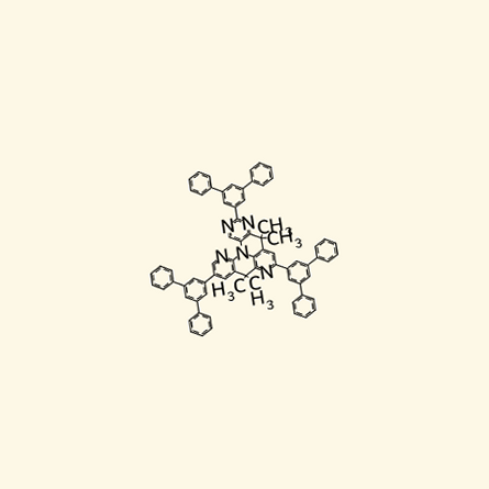 CC1(C)c2cc(-c3cc(-c4ccccc4)cc(-c4ccccc4)c3)nc3c2N(c2cnc(-c4cc(-c5ccccc5)cc(-c5ccccc5)c4)nc21)c1ncc(-c2cc(-c4ccccc4)cc(-c4ccccc4)c2)cc1C3(C)C